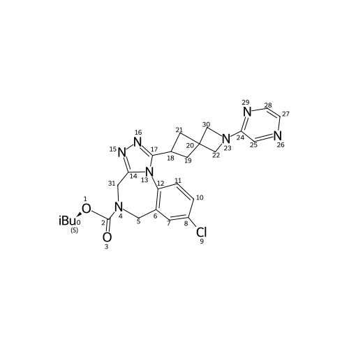 CC[C@H](C)OC(=O)N1Cc2cc(Cl)ccc2-n2c(nnc2C2CC3(C2)CN(c2cnccn2)C3)C1